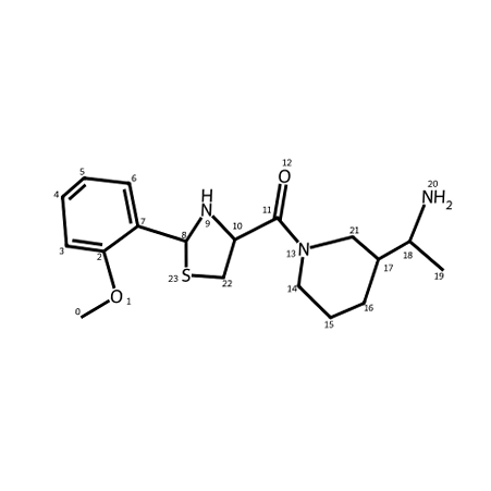 COc1ccccc1C1NC(C(=O)N2CCCC(C(C)N)C2)CS1